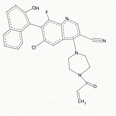 C=CC(=O)N1CCN(c2c(C#N)cnc3c(F)c(-c4c(O)ccc5ccccc45)c(Cl)cc23)CC1